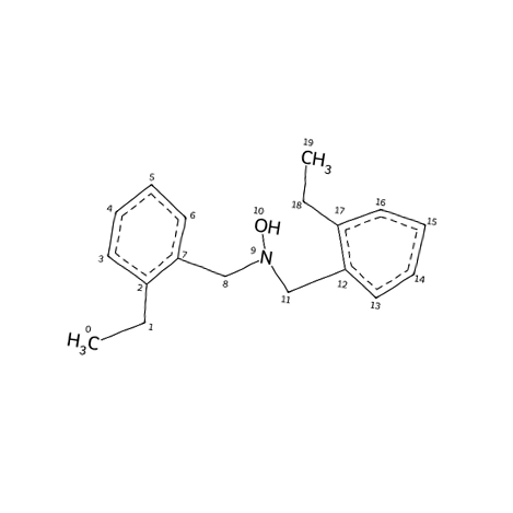 CCc1ccccc1CN(O)Cc1ccccc1CC